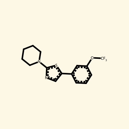 FC(F)(F)Oc1cccc(-c2cnc(N3CCCCC3)s2)c1